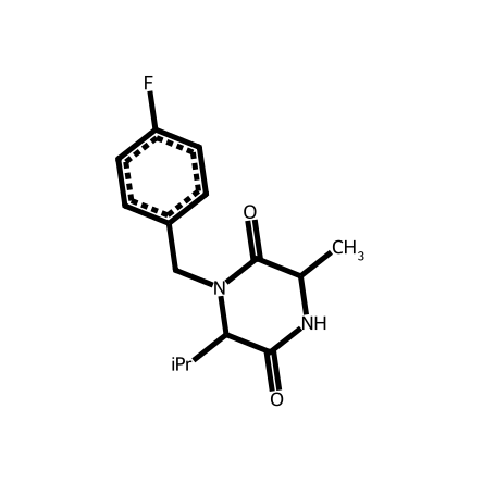 CC1NC(=O)C(C(C)C)N(Cc2ccc(F)cc2)C1=O